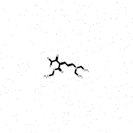 CCOC(=O)/C(=C\C=C\N(CC)CC)C(=O)C(F)F